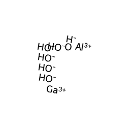 [Al+3].[Ga+3].[OH-].[OH-].[OH-].[OH-].[OH-].[OH-]